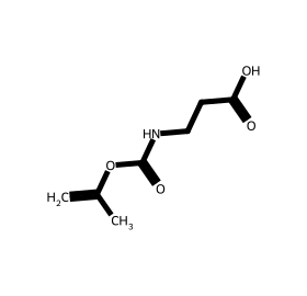 C=C(C)OC(=O)NCCC(=O)O